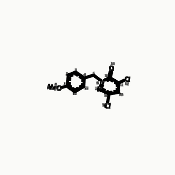 COc1ccc(Cn2nc(Cl)cc(Cl)c2=O)cc1